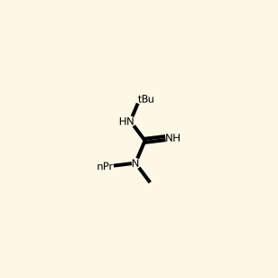 CCCN(C)C(=N)NC(C)(C)C